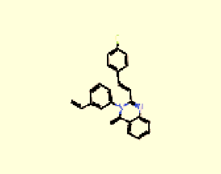 C=Cc1cccc(N2C(=C)c3ccccc3N=C2/C=C/c2ccc(F)cc2)c1